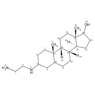 C[C@]12CCC(NCCN)CC1CC[C@@H]1[C@H]2CC[C@]2(C)C(O)CC[C@@H]12